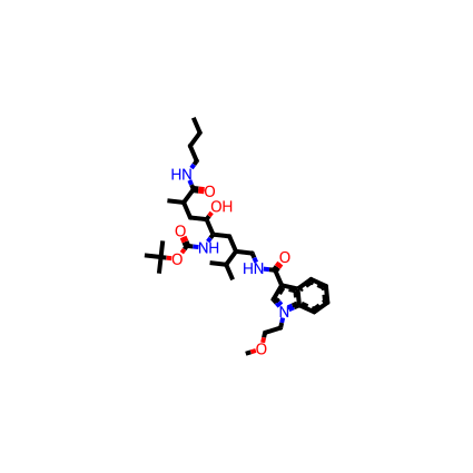 CCCCNC(=O)C(C)CC(O)C(CC(CNC(=O)c1cn(CCOC)c2ccccc12)C(C)C)NC(=O)OC(C)(C)C